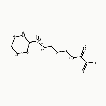 C=C(C)C(=O)OCCCS[SiH2]C1CCCCO1